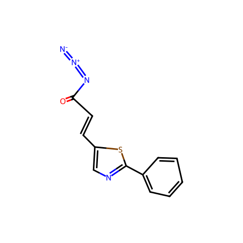 [N-]=[N+]=NC(=O)C=Cc1cnc(-c2ccccc2)s1